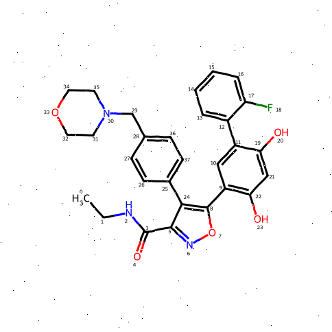 CCNC(=O)c1noc(-c2cc(-c3ccccc3F)c(O)cc2O)c1-c1ccc(CN2CCOCC2)cc1